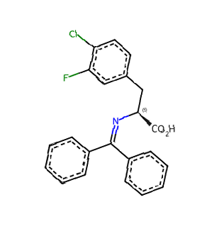 O=C(O)[C@H](Cc1ccc(Cl)c(F)c1)N=C(c1ccccc1)c1ccccc1